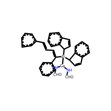 O=C[NH][Ga]([NH]C=O)[Zr]([C](=CC=Cc1ccccc1)c1ccccc1)([CH]1C=Cc2ccccc21)[CH]1C=Cc2ccccc21